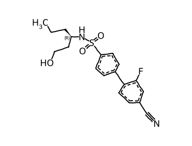 CCC[C@H](CCO)NS(=O)(=O)c1ccc(-c2ccc(C#N)cc2F)cc1